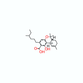 CCC(C)CCCc1cc2c(c(O)c1C(=O)O)[C@@H]1C=C(C)CC[C@H]1C(C)(C)O2